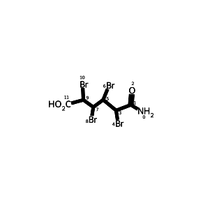 NC(=O)C(Br)C(Br)C(Br)C(Br)C(=O)O